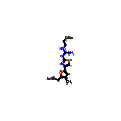 COCCN/C(N)=N/c1nc(-c2cc(C)c(CNC(C)=O)o2)cs1